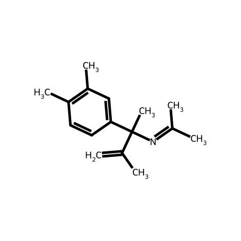 C=C(C)C(C)(N=C(C)C)c1ccc(C)c(C)c1